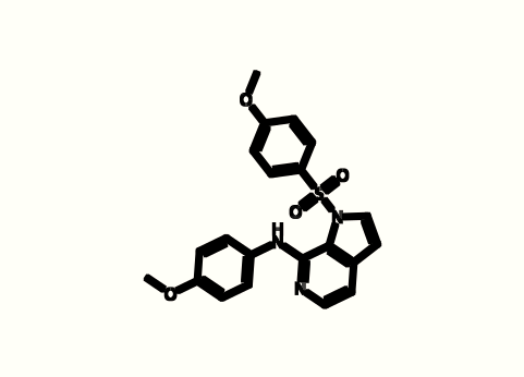 COc1ccc(Nc2nccc3ccn(S(=O)(=O)c4ccc(OC)cc4)c23)cc1